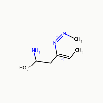 C/C=C(CC(N)C(=O)O)\N=N/C